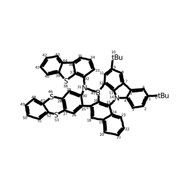 CC(C)(C)c1ccc2c(c1)c1cc(C(C)(C)C)cc3c1n2-c1c2c(cc4ccccc14)-c1cc4c(cc1N(c1cccc5c1sc1ccccc15)B23)Sc1ccccc1S4